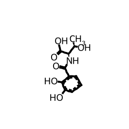 C[C@@H](O)[C@H](NC(=O)c1cccc(O)c1O)C(=O)O